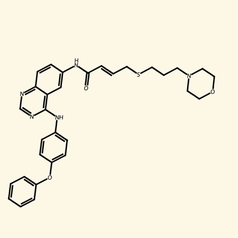 O=C(C=CCSCCCN1CCOCC1)Nc1ccc2ncnc(Nc3ccc(Oc4ccccc4)cc3)c2c1